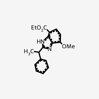 CCOC(=O)c1ccc(OC)c2nc(C(C)c3ccccc3)[nH]c12